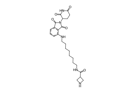 O=C1CCC(N2C(=O)c3cccc(NCCCCCCCCNC(=O)C4CNC4)c3C2=O)C(=O)N1